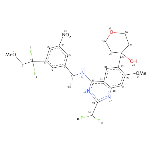 COCC(F)(F)c1cc([C@@H](C)Nc2nc(C(F)F)nc3cc(OC)c(C4(O)CCOCC4)cc23)cc([N+](=O)[O-])c1